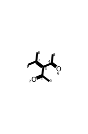 CC(=O)C(C(C)=O)=C(C)C